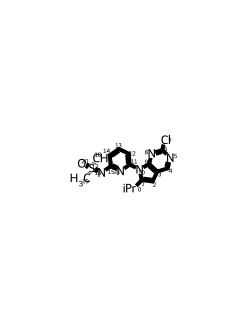 CC(C)c1cc2cnc(Cl)nc2n1-c1cccc(N=S(C)(C)=O)n1